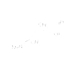 CNC/C=C(\C)CCC[C@H](C)CCC[C@H](C)CCCC(C)C